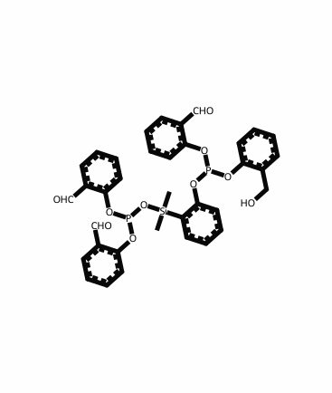 C[Si](C)(OP(Oc1ccccc1C=O)Oc1ccccc1C=O)c1ccccc1OP(Oc1ccccc1C=O)Oc1ccccc1CO